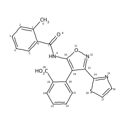 Cc1ccccc1C(=O)Nc1onc(-c2nccs2)c1-c1ccccc1C(=O)O